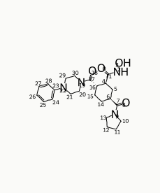 O=C(NO)[C@H]1C[C@@H](C(=O)N2CCCC2)CC[C@@H]1C(=O)N1CCN(c2ccccc2)CC1